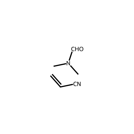 C=CC#N.CN(C)C=O